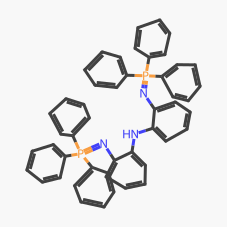 c1ccc(P(=Nc2ccccc2Nc2ccccc2N=P(c2ccccc2)(c2ccccc2)c2ccccc2)(c2ccccc2)c2ccccc2)cc1